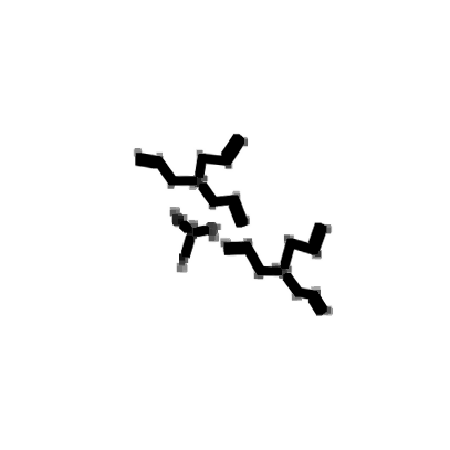 C=CC[S+](CC=C)CC=C.C=CC[S+](CC=C)CC=C.[O-]B([O-])F